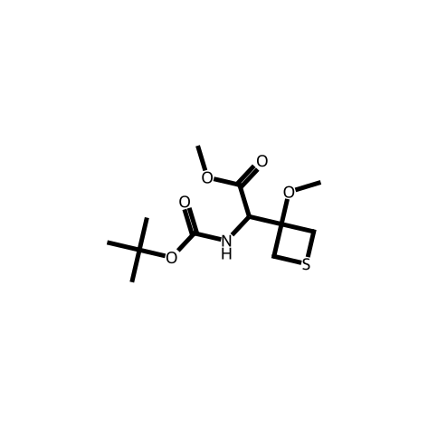 COC(=O)C(NC(=O)OC(C)(C)C)C1(OC)CSC1